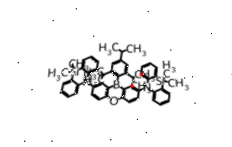 CC(C)c1cc(C(C)C)c(B2c3cc(N4c5ccccc5[Si](C)(C)c5ccccc54)ccc3Oc3ccc(N4c5ccccc5[Si](C)(C)c5ccccc54)cc32)c(C(C)C)c1